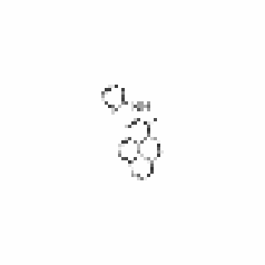 Cc1c(Nc2ccccn2)cc2ccc3cccc4ccc1c2c34